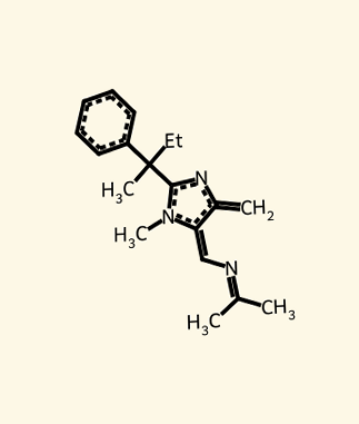 C=c1nc(C(C)(CC)c2ccccc2)n(C)/c1=C/N=C(C)C